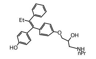 CCCNCC(O)COc1ccc(C(=C(CC)c2ccccc2)c2ccc(O)cc2)cc1